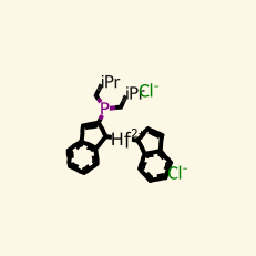 CC(C)CP(CC(C)C)C1=Cc2ccccc2[CH]1[Hf+2][CH]1C=Cc2ccccc21.[Cl-].[Cl-]